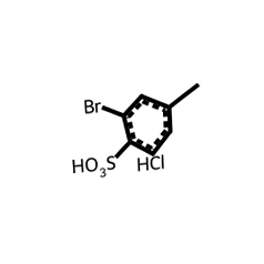 Cc1ccc(S(=O)(=O)O)c(Br)c1.Cl